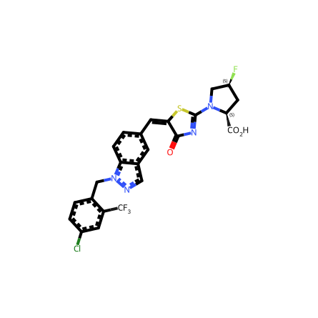 O=C1N=C(N2C[C@@H](F)C[C@H]2C(=O)O)SC1=Cc1ccc2c(cnn2Cc2ccc(Cl)cc2C(F)(F)F)c1